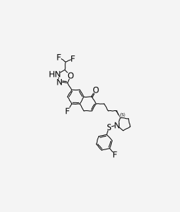 O=C1C(CCC[C@H]2CCCN2Sc2cccc(F)c2)=CCc2c(F)cc(C3=NNC(C(F)F)O3)cc21